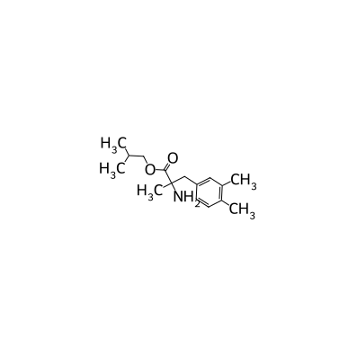 Cc1ccc(CC(C)(N)C(=O)OCC(C)C)cc1C